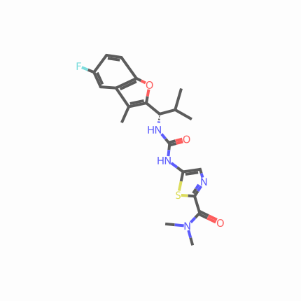 Cc1c([C@@H](NC(=O)Nc2cnc(C(=O)N(C)C)s2)C(C)C)oc2ccc(F)cc12